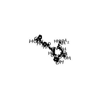 N=C(N)NCCC[C@@H]1NC(=O)[C@H](CCCCNC(=O)c2ccc(N/N=C/c3ccccc3S(=O)(=O)O)nc2)NC(=O)[C@@H](Cc2ccc(O)cc2)NC(=O)[C@H](CC(=O)O)NC(=O)CNC1=O